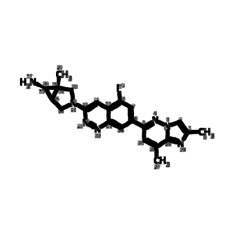 Cc1cn2nc(-c3cc(F)c4cc(N5CC6[C@@H](N)[C@]6(C)C5)nnc4c3)cc(C)c2n1